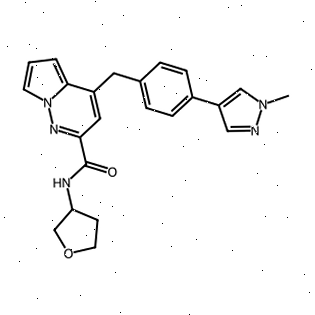 Cn1cc(-c2ccc(Cc3cc(C(=O)NC4CCOC4)nn4cccc34)cc2)cn1